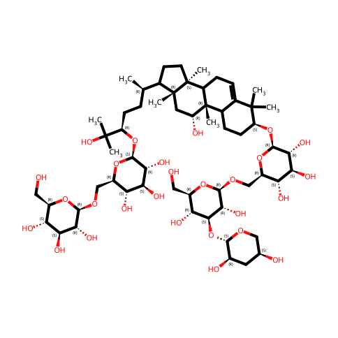 C[C@H](CC[C@@H](O[C@@H]1O[C@H](CO[C@@H]2O[C@H](CO)[C@@H](O)[C@H](O)[C@H]2O)[C@@H](O)[C@H](O)[C@H]1O)C(C)(C)O)C1CC[C@@]2(C)C3CC=C4C(CC[C@H](O[C@@H]5O[C@H](CO[C@@H]6O[C@H](CO)[C@@H](O)[C@H](O[C@@H]7OC[C@@H](O)C[C@H]7O)[C@H]6O)[C@@H](O)[C@H](O)[C@H]5O)C4(C)C)[C@]3(C)[C@H](O)C[C@]12C